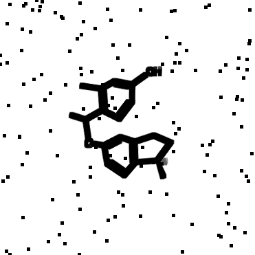 Cc1cc(O)ccc1C(C)Oc1ccc2c(c1)CC[C@H]2C